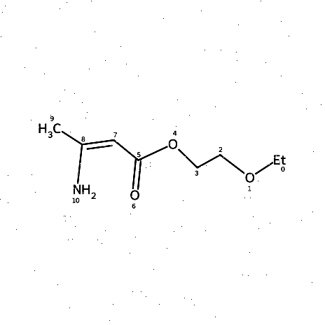 CCOCCOC(=O)C=C(C)N